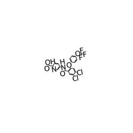 O=C(O)c1ccc(NC(=O)c2cc(Cl)c(Cl)cc2Oc2ccc(OC(F)(F)F)cc2)cn1